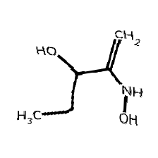 C=C(NO)C(O)CC